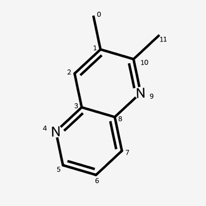 Cc1cc2ncccc2nc1C